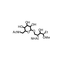 CC[C@@H](OC)C(O)[C@H](COC1OC(CNC(C)=O)C(O)C(O)C1O)NC(C)=O